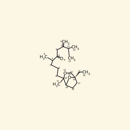 C=C(CC(=O)C(C)CCCC1(C)OC[C@]2(CC)CCC1O2)C(C)C